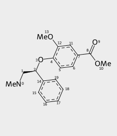 CNC[C@@H](Oc1ccc(C(=O)OC)cc1OC)c1ccccc1